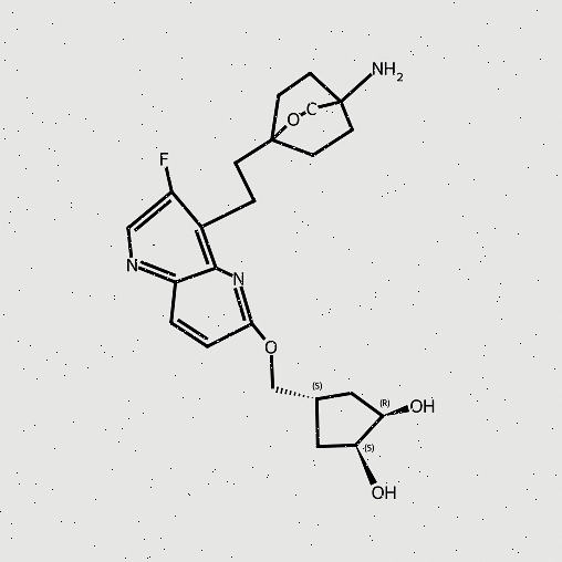 NC12CCC(CCc3c(F)cnc4ccc(OC[C@@H]5C[C@@H](O)[C@@H](O)C5)nc34)(CC1)OC2